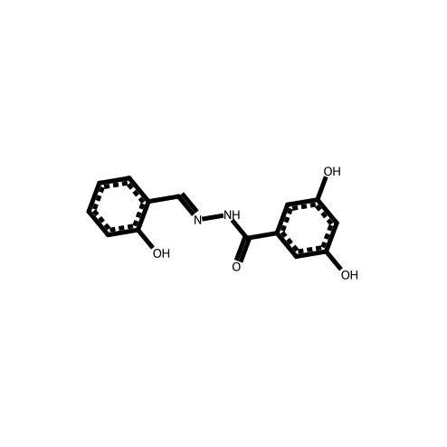 O=C(NN=Cc1ccccc1O)c1cc(O)cc(O)c1